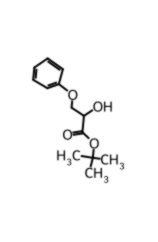 CC(C)(C)OC(=O)C(O)COc1ccccc1